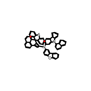 c1ccc2c(c1)Sc1ccccc1C21c2cc(N(c3ccc4oc5ccccc5c4c3)c3ccc4c5ccccc5n(-c5cccc6ccccc56)c4c3)ccc2-c2cccc3cccc1c23